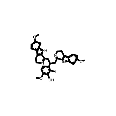 COc1ccc2c3c([nH]c2c1)C(CC(CC1=NCCc2c1[nH]c1cc(OC)ccc21)c1ccc(OC)c(O)c1I)=NCC3